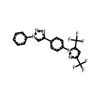 FC(F)(F)c1cc(C(F)(F)F)n(-c2ccc(-c3cn(-c4ccccc4)nn3)cc2)n1